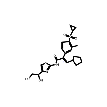 Cc1cc(/C(=C\C2CCCC2)C(=O)Nc2nc(C(O)CO)cs2)ccc1S(=O)(=O)C1CC1